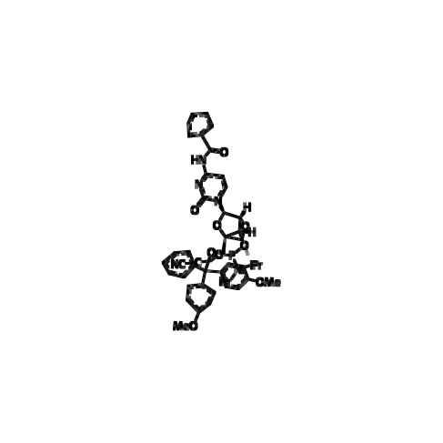 COc1ccc(C(OC[C@]23O[C@@H](n4ccc(NC(=O)c5ccccc5)nc4=O)[C@H](O[C@@H]2C)[C@@H]3OP(OCCC#N)N(C(C)C)C(C)C)(c2ccccc2)c2ccc(OC)cc2)cc1